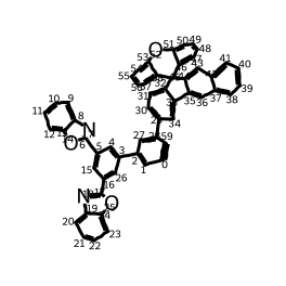 c1cc(-c2cc(-c3nc4ccccc4o3)cc(-c3nc4ccccc4o3)c2)cc(-c2ccc3c(c2)-c2cc4ccccc4cc2C32c3ccccc3Oc3ccccc32)c#1